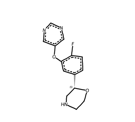 Fc1ccc([C@H]2CNCCO2)cc1Oc1cncnc1